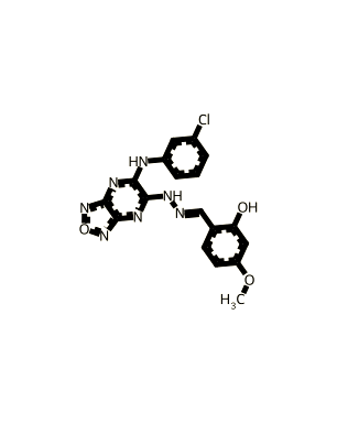 COc1ccc(/C=N/Nc2nc3nonc3nc2Nc2cccc(Cl)c2)c(O)c1